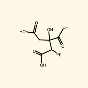 O=C(O)CC(O)(C(=O)O)C([18F])C(=O)O